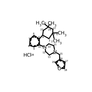 CC1(C)CC(c2ccccc2N2CCN(Cc3ccoc3)CC2)CC(C)(C)C1.Cl